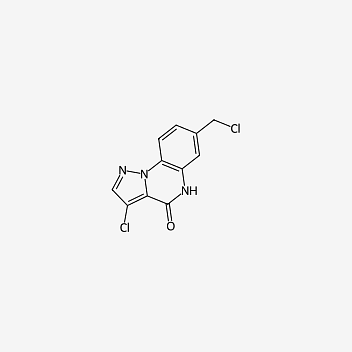 O=c1[nH]c2cc(CCl)ccc2n2ncc(Cl)c12